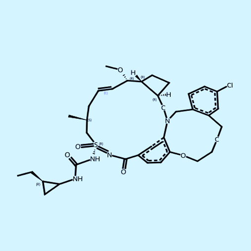 CC[C@@H]1CC1NC(=O)N[S@@]1(=O)=NC(=O)c2ccc3c(c2)N(Cc2ccc(Cl)cc2CCCCO3)C[C@@H]2CC[C@H]2[C@@H](OC)/C=C/C[C@H](C)C1